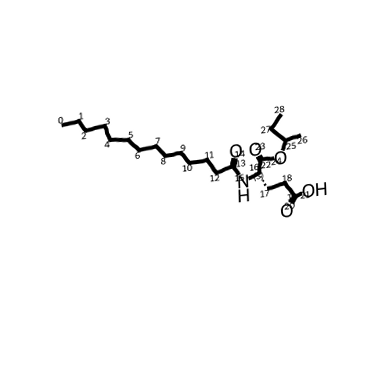 CCCCCCCCCCCCCC(=O)N[C@@H](CCC(=O)O)C(=O)OC(C)CC